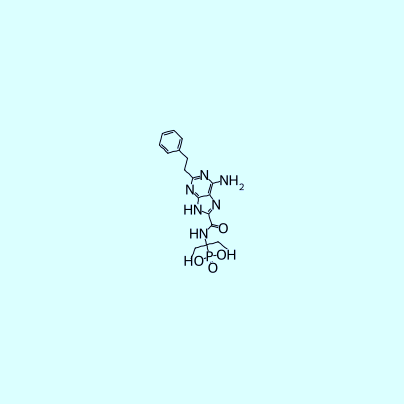 CCC(CC)(NC(=O)c1nc2c(N)nc(CCc3ccccc3)nc2[nH]1)P(=O)(O)O